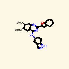 COc1cc2nc(-c3cc4ccccc4o3)nc(Nc3ccc4[nH]ncc4c3)c2cc1OC